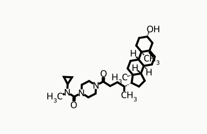 CC(CCC(=O)N1CCN(C(=O)N(C)C2CC2)CC1)[C@H]1CC[C@H]2[C@@H]3CC=C4C[C@@H](O)CC[C@]4(C)[C@H]3CC[C@]12C